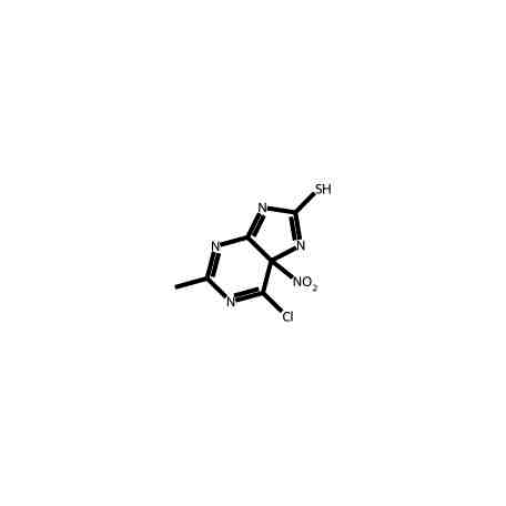 CC1=NC2=NC(S)=NC2([N+](=O)[O-])C(Cl)=N1